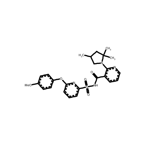 COc1ccc(Oc2cccc(S(=O)(=O)NC(=O)c3cccnc3N3CC(C)CC3(C)C)n2)cc1